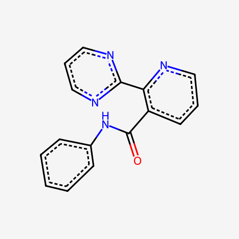 O=C(Nc1ccccc1)c1cccnc1-c1ncccn1